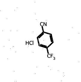 Cl.N#Cc1ccc(C(F)(F)F)cc1